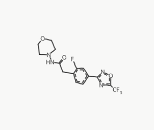 O=C(Cc1ccc(-c2noc(C(F)(F)F)n2)cc1F)NN1CCOCC1